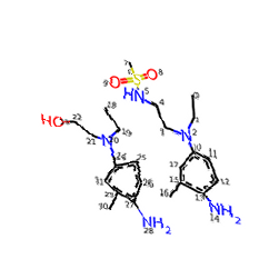 CCN(CCNS(C)(=O)=O)c1ccc(N)c(C)c1.CCN(CCO)c1ccc(N)c(C)c1